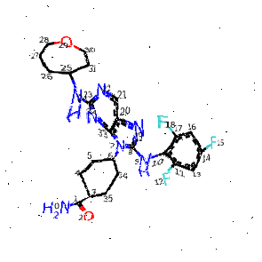 NC(=O)[C@H]1CC[C@@H](n2c(Nc3c(F)cc(F)cc3F)nc3cnc(NC4CCCOCC4)nc32)CC1